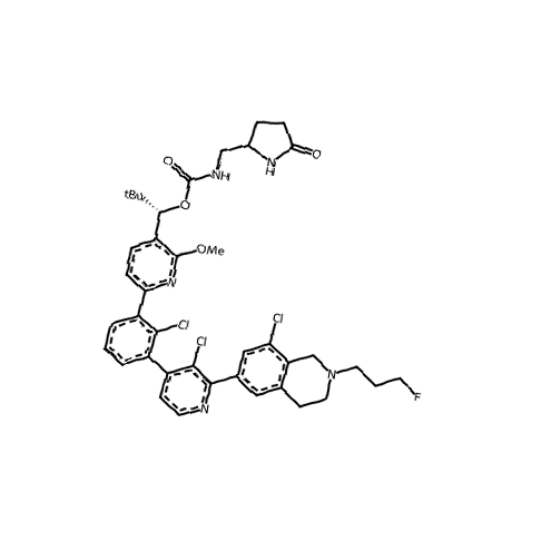 COc1nc(-c2cccc(-c3ccnc(-c4cc(Cl)c5c(c4)CCN(CCCF)C5)c3Cl)c2Cl)ccc1[C@@H](OC(=O)NCC1CCC(=O)N1)C(C)(C)C